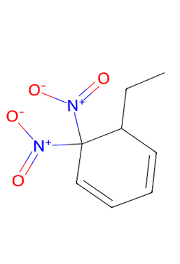 CCC1C=CC=CC1([N+](=O)[O-])[N+](=O)[O-]